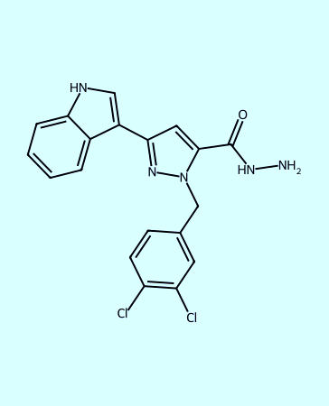 NNC(=O)c1cc(-c2c[nH]c3ccccc23)nn1Cc1ccc(Cl)c(Cl)c1